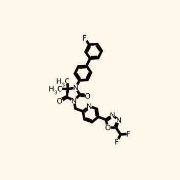 CC1(C)C(=O)N(Cc2ccc(-c3nnc(C(F)F)o3)cn2)C(=O)N1c1ccc(-c2cccc(F)c2)cc1